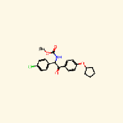 CC(C)(C)OC(=O)NC(C(=O)c1ccc(OC2CCCC2)cc1)c1ccc(Cl)cc1